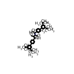 CN/C(=C1/C(=O)NC(c2ccc(-c3cc(C(C)(C)C)cc(C(C)(C)C)c3)cc2)=C1C=O)c1ccc(-c2cc(C(C)(C)C)cc(C(C)(C)C)c2)cc1